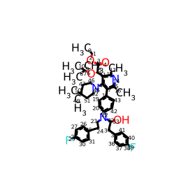 CCOC(=O)[C@@H](OC(C)(C)C)c1c(C)nc(C)c(-c2ccc(N(CCc3ccc(F)cc3)C(O)Cc3ccc(F)cc3)cc2)c1N1CCC(C)(C)CC1